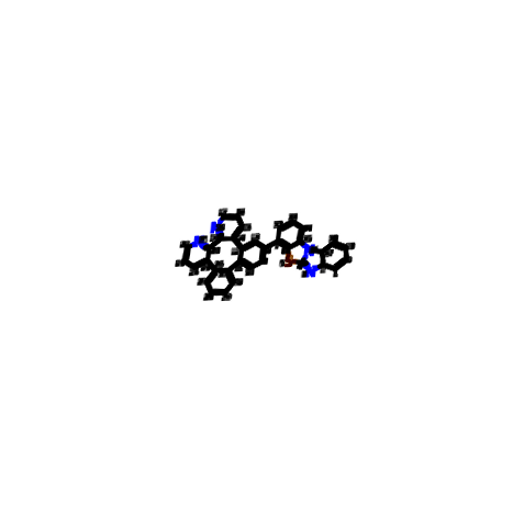 C1=CC2N=C3Sc4c(-c5ccc6c(c5)-c5cccnc5-c5ncccc5-c5ccccc5-6)cccc4N3C2C=C1